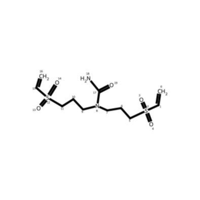 C=CS(=O)(=O)CCCN(CCCS(=O)(=O)C=C)C(N)=O